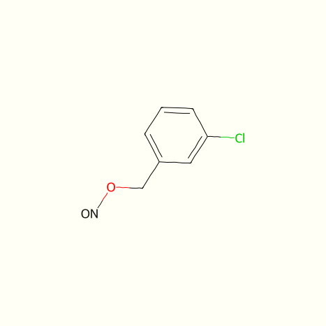 O=NOCc1cccc(Cl)c1